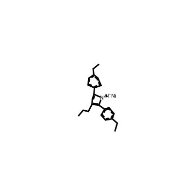 CCCC1=C(c2ccc(CC)cc2)[N+](=[N-])C(c2ccc(CC)cc2)=C1.[Ni]